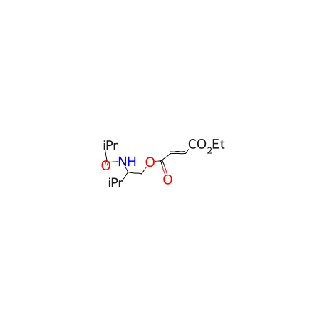 CCOC(=O)/C=C/C(=O)OCC(NC(=O)C(C)C)C(C)C